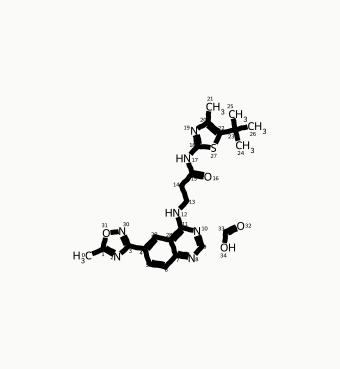 Cc1nc(-c2ccc3ncnc(NCCC(=O)Nc4nc(C)c(C(C)(C)C)s4)c3c2)no1.O=CO